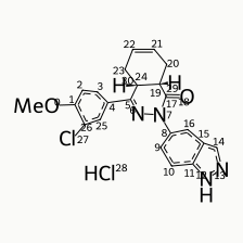 COc1ccc(C2=NN(c3ccc4[nH]ncc4c3)C(=O)[C@H]3CC=CC[C@@H]23)cc1Cl.Cl